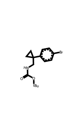 CC(C)(C)OC(=O)NCC1(c2ccc(Br)cc2)CC1